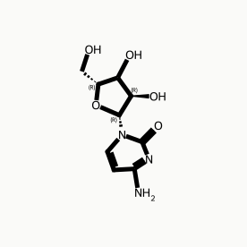 Nc1ccn([C@@H]2O[C@H](CO)C(O)[C@H]2O)c(=O)n1